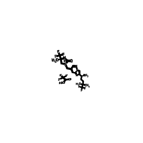 CC(C)(CC[C@H](N)c1cn2ncc(CN3C[C@](C)(C(F)(F)F)NC3=O)cc2n1)C(F)(F)F.O=C(O)C(F)(F)F